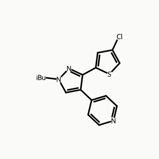 CCC(C)n1cc(-c2ccncc2)c(-c2cc(Cl)cs2)n1